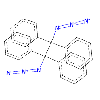 [N-]=[N+]=NC(c1ccccc1)(c1ccccc1)C(N=[N+]=[N-])(c1ccccc1)c1ccccc1